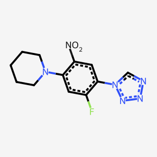 O=[N+]([O-])c1cc(-n2cnnn2)c(F)cc1N1CCCCC1